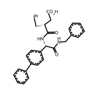 CC(C)C[C@H](CC(=O)O)C(=O)N[C@H](C(=O)NCc1ccccc1)c1ccc(-c2ccccc2)cc1